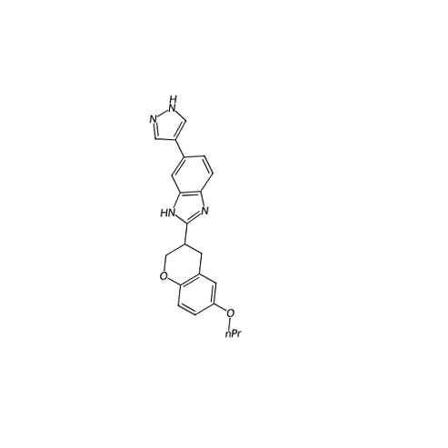 CCCOc1ccc2c(c1)CC(c1nc3ccc(-c4cn[nH]c4)cc3[nH]1)CO2